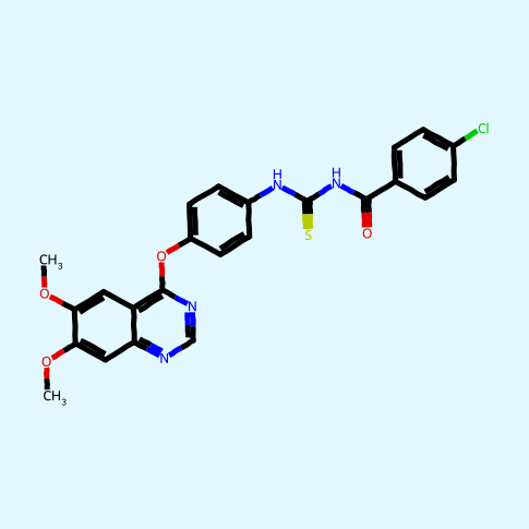 COc1cc2ncnc(Oc3ccc(NC(=S)NC(=O)c4ccc(Cl)cc4)cc3)c2cc1OC